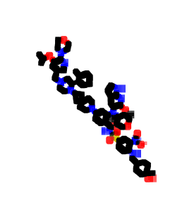 Cc1ccccc1[C@@H]1CN(Cc2cnc(N3CCOCC3)c(OC(C)C)c2)CCN1C1CC2(CCN(c3ccc(C(=O)NS(=O)(=O)c4ccc(NCC5CCC(C)(O)CC5)c([N+](=O)[O-])c4)c(N4c5cc6cc[nH]c6nc5O[C@H]5COCC[C@@H]54)c3)CC2)C1